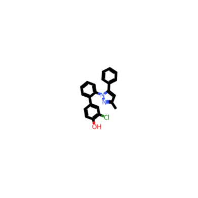 Cc1cc(-c2ccccc2)n(-c2ccccc2-c2ccc(O)c(Cl)c2)n1